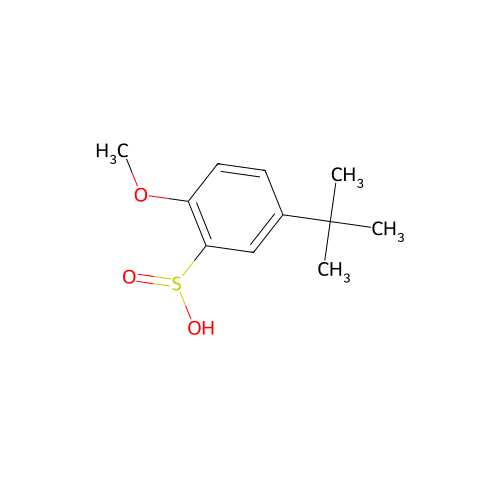 COc1ccc(C(C)(C)C)cc1S(=O)O